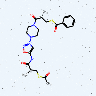 CC(=O)SC[C@@H](C)C(=O)[N-]c1c[n+](N2CCN(C(=O)[C@H](C)CSC(=O)c3ccccc3)CC2)no1